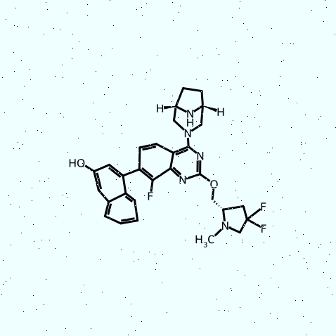 CN1CC(F)(F)C[C@H]1COc1nc(N2C[C@H]3CC[C@@H](C2)N3)c2ccc(-c3cc(O)cc4ccccc34)c(F)c2n1